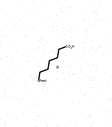 CCCCCCCCCCC(=O)O.[Zr]